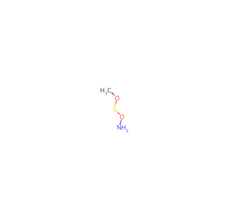 COSON